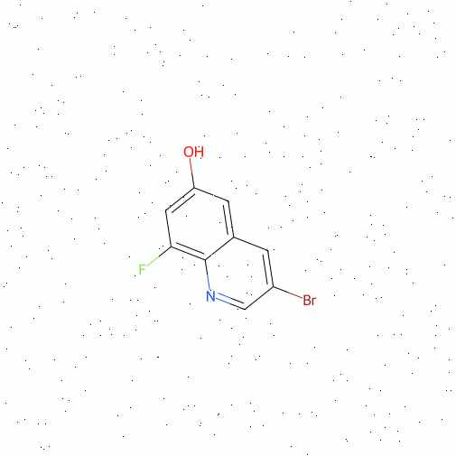 Oc1cc(F)c2ncc(Br)cc2c1